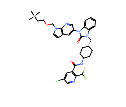 C[Si](C)(C)CCOCn1ccc2cc(-n3c(=O)n(C[C@H]4CC[C@H](NC(=O)c5cc(Cl)cnc5C(F)F)CC4)c4ccccc43)cnc21